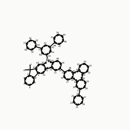 CC1(C)c2ccccc2-c2cc3c4cc(-c5ccc6c7cc(-c8ccccc8)ccc7c7ccccc7c6c5)ccc4n(-c4cc(-c5ccccc5)cc(-c5ccccc5)c4)c3cc21